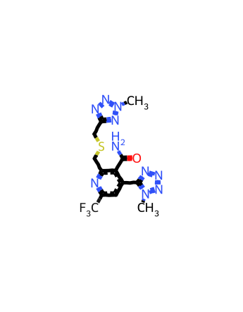 Cn1nnc(CSCc2nc(C(F)(F)F)cc(-c3nnnn3C)c2C(N)=O)n1